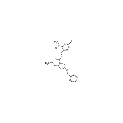 C=CCC1CC(OCc2ccccc2)CN1C(=O)[CH]Cc1ccc(F)cc1C(N)=O